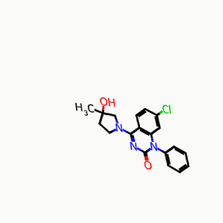 CC1(O)CCN(c2nc(=O)n(-c3ccccc3)c3cc(Cl)ccc23)C1